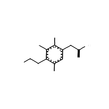 O=C(O)Cc1cc(I)c(CCO)c(I)c1I